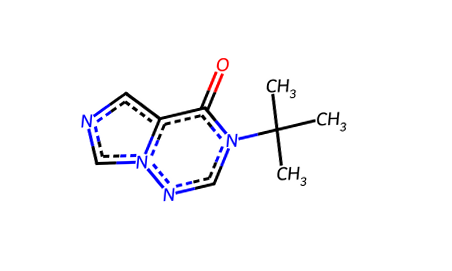 CC(C)(C)n1cnn2cncc2c1=O